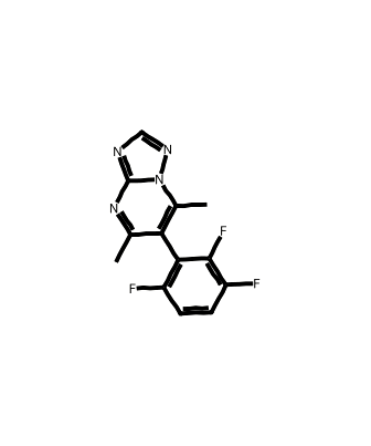 Cc1nc2ncnn2c(C)c1-c1c(F)ccc(F)c1F